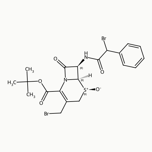 CC(C)(C)OC(=O)C1=C(CBr)C[S@+]([O-])[C@@H]2[C@H](NC(=O)C(Br)c3ccccc3)C(=O)N12